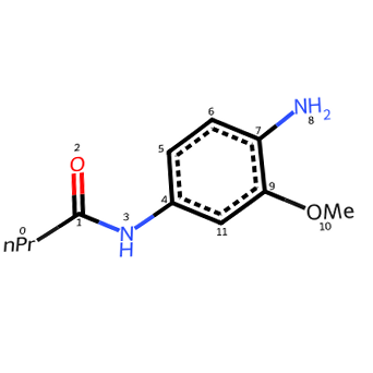 CCCC(=O)Nc1ccc(N)c(OC)c1